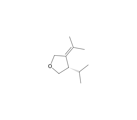 CC(C)=C1COC[C@H]1C(C)C